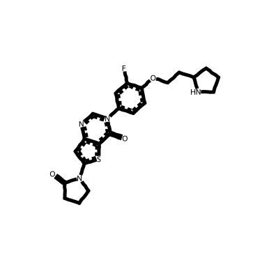 O=C1CCCN1c1cc2ncn(-c3ccc(OCCC4CCCN4)c(F)c3)c(=O)c2s1